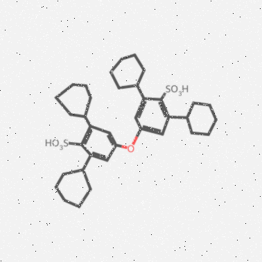 O=S(=O)(O)c1c(C2CCCCC2)cc(Oc2cc(C3CCCCC3)c(S(=O)(=O)O)c(C3CCCCC3)c2)cc1C1CCCCC1